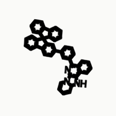 C1=CC2Nc3c(nc(-c4cccc(-c5ccc6c(c5)C5(c7ccccc7-c7ccccc75)c5ccccc5-6)c4)c4ccccc34)N2C=C1